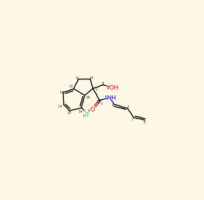 C=CC=CNC(=O)C1(CO)CCc2cccc(F)c21